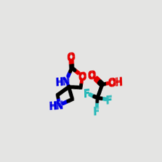 O=C(O)C(F)(F)F.O=C1NC2(CNC2)CO1